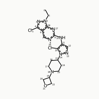 CCn1nc(Cl)c2cnc(Nc3cnn(C4CCN(C5COC5)CC4)c3Cl)nc21